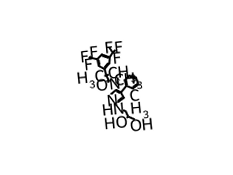 Cc1ccccc1-c1cc(NCC(O)CO)ncc1N(C)C(=O)C(C)(C)c1cc(C(F)(F)F)cc(C(F)(F)F)c1